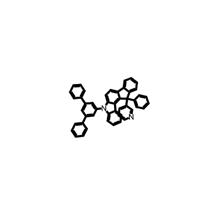 c1ccc(-c2cc(-c3ccccc3)cc(-n3c4ccccc4c4c5c(ccc43)-c3ccccc3C5(c3ccccc3)c3cccnc3)c2)cc1